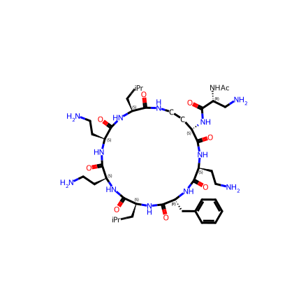 CC(=O)N[C@H](CN)C(=O)N[C@H]1CCNC(=O)[C@H](CC(C)C)NC(=O)[C@H](CCN)NC(=O)[C@H](CCN)NC(=O)[C@H](CC(C)C)NC(=O)[C@@H](Cc2ccccc2)NC(=O)[C@H](CCN)NC1=O